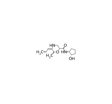 C=C/C=C1/NCC(C(=O)N[C@H]2CCC[C@@H]2O)OC1=C